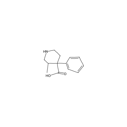 CC1CNCCC1(C(=O)O)c1ccccc1